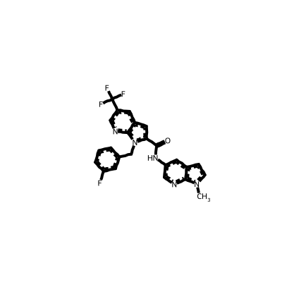 Cn1ccc2cc(NC(=O)c3cc4cc(C(F)(F)F)cnc4n3Cc3cccc(F)c3)cnc21